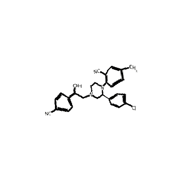 Cc1ccc(N2CCN(CC(O)c3ccc(C#N)cc3)CC2c2ccc(Cl)cc2)c(C#N)c1